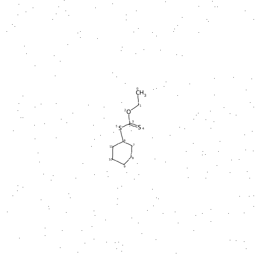 CCOC(=S)SC1CCCCC1